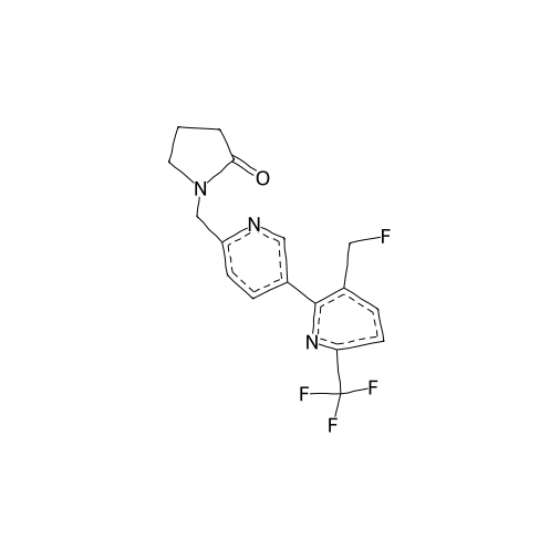 O=C1CCCN1Cc1ccc(-c2nc(C(F)(F)F)ccc2CF)cn1